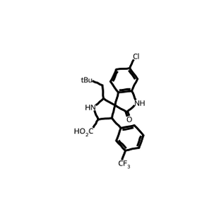 CC(C)(C)CC1NC(C(=O)O)C(c2cccc(C(F)(F)F)c2)C12C(=O)Nc1cc(Cl)ccc12